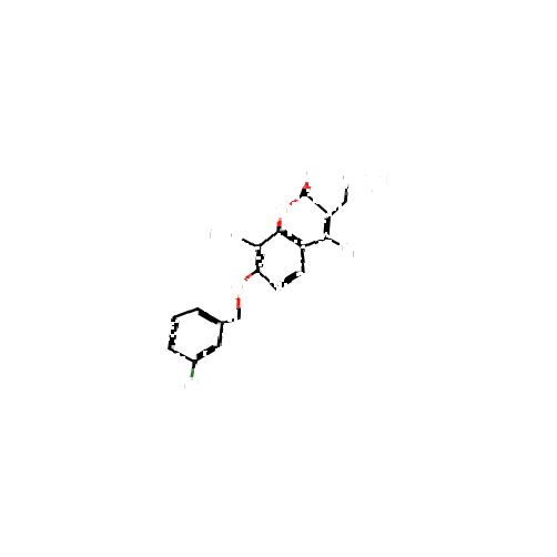 Cc1c(CC(=O)O)c(=O)oc2c(C)c(OCc3cccc(Cl)c3)ccc12